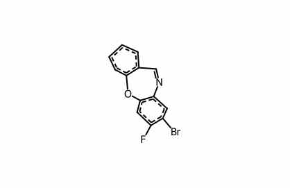 Fc1cc2c(cc1Br)N=Cc1ccccc1O2